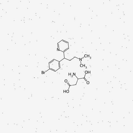 CN(C)CCC(c1ccc(Br)cc1)c1ccccn1.NC(CC(=O)O)C(=O)O